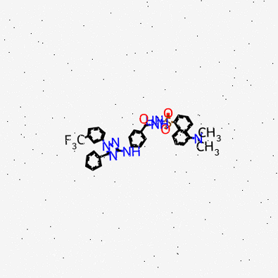 CN(C)c1cccc2c(S(=O)(=O)NNC(=O)c3ccc(Nc4nc(-c5ccccc5)n(-c5cccc(C(F)(F)F)c5)n4)cc3)cccc12